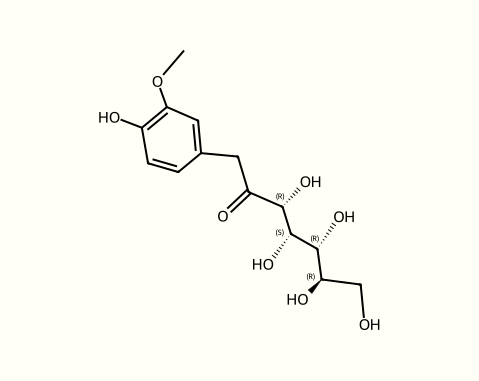 COc1cc(CC(=O)[C@H](O)[C@@H](O)[C@H](O)[C@H](O)CO)ccc1O